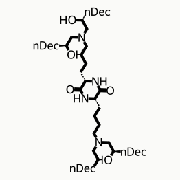 CCCCCCCCCCCCN(CCCC[C@@H]1NC(=O)[C@H](CCCCN(C[C@H](O)CCCCCCCCCC)C[C@@H](O)CCCCCCCCCC)NC1=O)C[C@H](O)CCCCCCCCCC